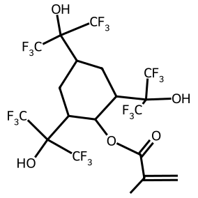 C=C(C)C(=O)OC1C(C(O)(C(F)(F)F)C(F)(F)F)CC(C(O)(C(F)(F)F)C(F)(F)F)CC1C(O)(C(F)(F)F)C(F)(F)F